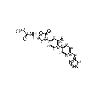 O=C(CCl)NC[C@H]1CN(c2ccc(-c3ccc(Cn4cnnn4)cc3)c(F)c2)C(=O)O1